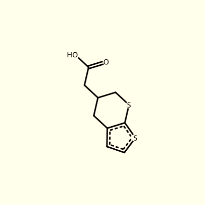 O=C(O)CC1CSc2sccc2C1